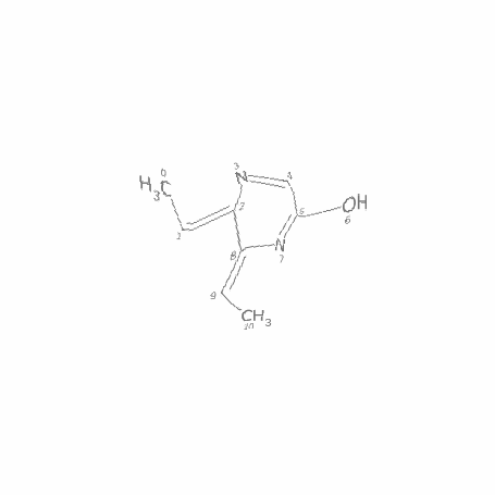 CC=c1ncc(O)nc1=CC